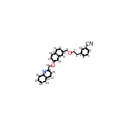 N#Cc1cccc(CCOCc2ccc3ccc(OCc4ccc5ccccc5n4)cc3c2)c1